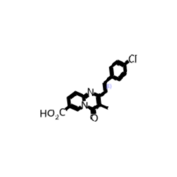 Cc1c(/C=C/c2ccc(Cl)cc2)nc2ccc(C(=O)O)cn2c1=O